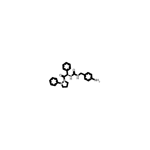 Nc1ccc(CNC(=O)N[C@@H](C(=O)N2CCCN2c2ccccc2)c2ccccc2)cc1